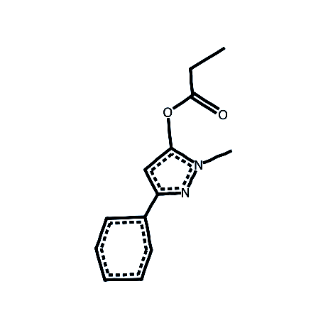 CCC(=O)Oc1cc(-c2ccccc2)nn1C